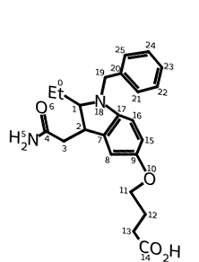 CCC1C(CC(N)=O)c2cc(OCCCC(=O)O)ccc2N1Cc1ccccc1